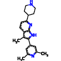 Cc1cc(-c2[nH]c3nc(C4CCNCC4)ccc3c2C)cc(C)n1